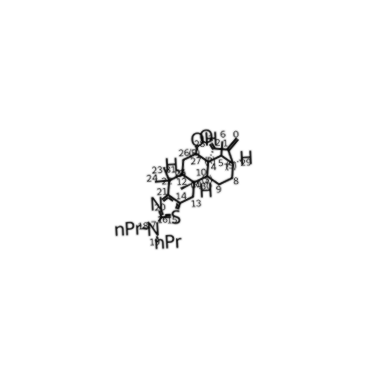 C=C1C(=O)[C@]23C(C)[C@@H]1CC[C@H]2[C@]1(C)Cc2sc(N(CCC)CCC)nc2C(C)(C)[C@H]1C[C@H]3O